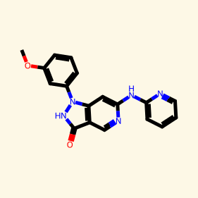 COc1cccc(-n2[nH]c(=O)c3cnc(Nc4ccccn4)cc32)c1